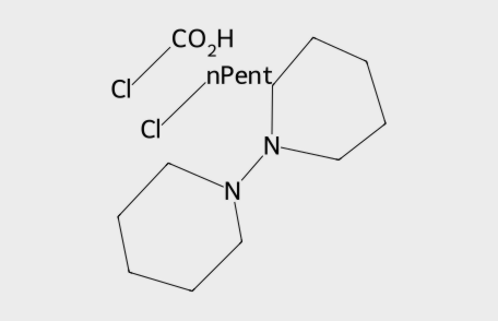 C1CCN(N2CCCCC2)CC1.CCCCCCl.O=C(O)Cl